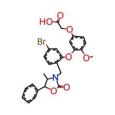 COc1ccc(OCC(=O)O)cc1Oc1cc(Br)ccc1CN1C(=O)OC(c2ccccc2)C1C